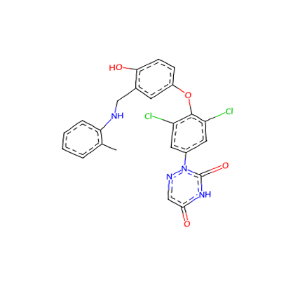 Cc1ccccc1NCc1cc(Oc2c(Cl)cc(-n3ncc(=O)[nH]c3=O)cc2Cl)ccc1O